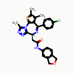 Cc1sc2c(c1C)C(c1ccc(Cl)cc1)=N[C@@H](CC(=O)Nc1ccc3c(c1)COC3)c1nnc(C)n1-2